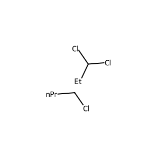 CCC(Cl)Cl.CCCCCl